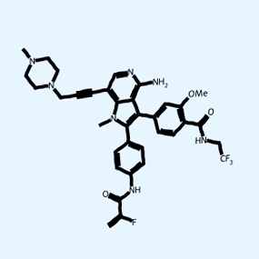 C=C(F)C(=O)Nc1ccc(-c2c(-c3ccc(C(=O)NCC(F)(F)F)c(OC)c3)c3c(N)ncc(C#CCN4CCN(C)CC4)c3n2C)cc1